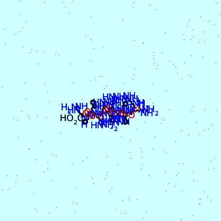 N=C(N)NCCC[C@H](NC(=O)[C@H](Cc1ccccc1)NC(=O)[C@H](Cc1c[nH]c2ccccc12)NC(=O)[C@H](CCCNC(=N)N)NC(=O)[C@H](CCCNC(=N)N)NC(=O)[C@H](Cc1c[nH]c2ccccc12)NC(=O)[C@H](CCCNC(=N)N)NC(=O)[C@H](CCCNC(=N)N)NC(=O)[C@H](Cc1ccccc1)NC(=O)[C@H](Cc1c[nH]c2ccccc12)NC(=O)[C@H](CCCNC(=N)N)NC(=O)[C@@H](N)CCCNC(=N)N)C(=O)O